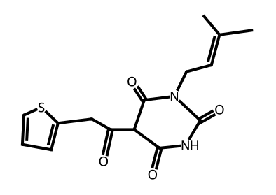 CC(C)=CCN1C(=O)NC(=O)C(C(=O)Cc2cccs2)C1=O